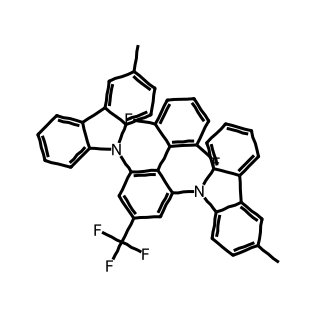 Cc1ccc2c(c1)c1ccccc1n2-c1cc(C(F)(F)F)cc(-n2c3ccccc3c3cc(C)ccc32)c1-c1c(F)cccc1F